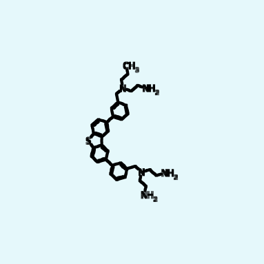 CCCN(CCN)Cc1cccc(-c2ccc3sc4ccc(-c5cccc(CN(CCN)CCN)c5)cc4c3c2)c1